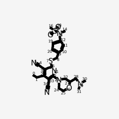 CCc1c(C#N)c(SCc2ccc(N(C)S(C)(=O)=O)cc2)nc(N2CCOC(CN(C)C)C2)c1C#N